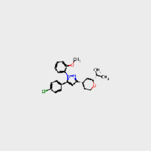 COc1ccccc1-n1nc([C@@H]2CCO[C@@H](C(C)C)C2)cc1-c1ccc(Cl)cc1